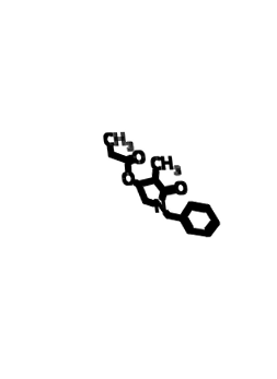 CCC(=O)OC1CN(Cc2ccccc2)C(=O)C1C